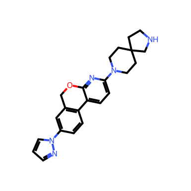 c1cnn(-c2ccc3c(c2)COc2nc(N4CCC5(CCNC5)CC4)ccc2-3)c1